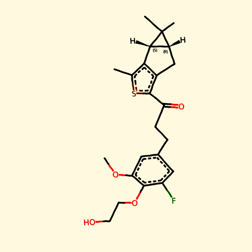 COc1cc(CCC(=O)c2sc(C)c3c2C[C@@H]2[C@H]3C2(C)C)cc(F)c1OCCO